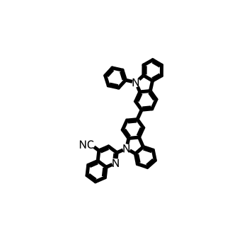 N#Cc1cc(-n2c3ccccc3c3cc(-c4ccc5c6ccccc6n(-c6ccccc6)c5c4)ccc32)nc2ccccc12